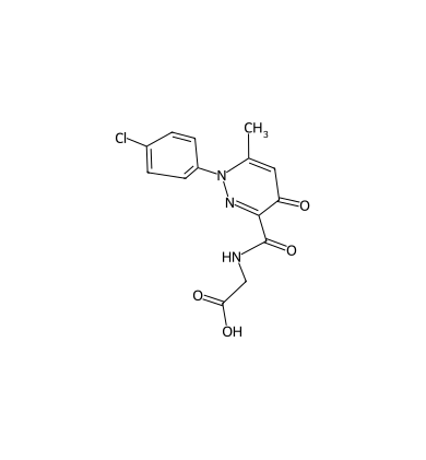 Cc1cc(=O)c(C(=O)NCC(=O)O)nn1-c1ccc(Cl)cc1